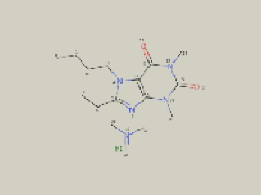 CCCCn1c(CC)nc2c1c(=O)n(C)c(=O)n2C.CNC.Cl